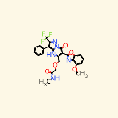 CNC(=O)COCc1[nH]c2c(-c3ccccc3)c(C(F)(F)F)nn2c(=O)c1-c1nc2c(OC)cccc2o1